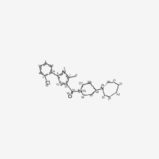 Cc1nc(-c2ccccc2Cl)sc1C(=O)N1CCC(N2CCCCCC2)CC1